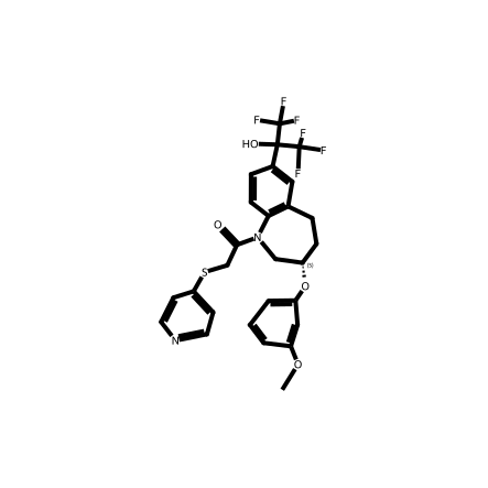 COc1cccc(O[C@H]2CCc3cc(C(O)(C(F)(F)F)C(F)(F)F)ccc3N(C(=O)CSc3ccncc3)C2)c1